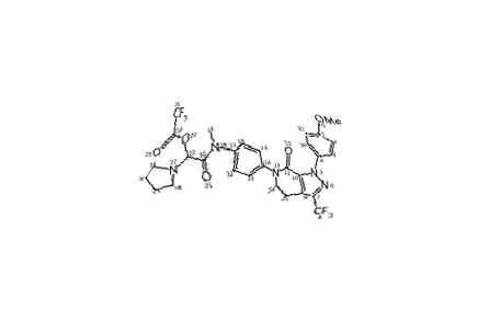 COc1ccc(-n2nc(C(F)(F)F)c3c2C(=O)N(c2ccc(N(C)C(=O)C(OC(=O)C(F)(F)F)N4CCCC4)cc2)CC3)cc1